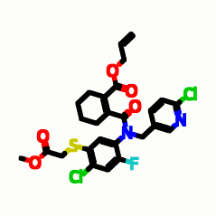 C=CCOC(=O)C1=C(C(=O)N(Cc2ccc(Cl)nc2)c2cc(SCC(=O)OC)c(Cl)cc2F)CCCC1